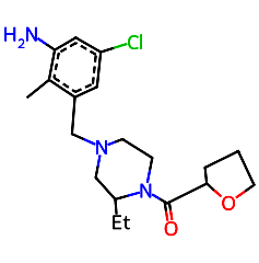 CCC1CN(Cc2cc(Cl)cc(N)c2C)CCN1C(=O)C1CCCO1